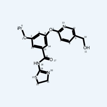 CC(C)Oc1cc(Oc2ccc(CO)cn2)cc(C(=O)NC2=NCCS2)c1